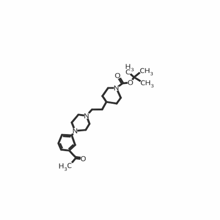 CC(=O)c1cccc(N2CCN(CCC3CCN(C(=O)OC(C)(C)C)CC3)CC2)c1